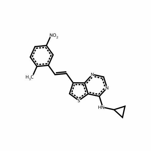 Cc1ccc([N+](=O)[O-])cc1/C=C/c1csc2c(NC3CC3)ncnc12